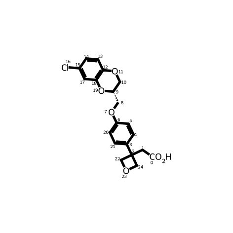 O=C(O)CC1(c2ccc(OC[C@H]3COc4ccc(Cl)cc4O3)cc2)COC1